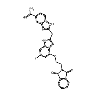 N=C(N)c1ccc2[nH]c(Cc3nc4c(OCCN5C(=O)c6ccccc6C5=O)cc(F)cc4[nH]3)nc2c1